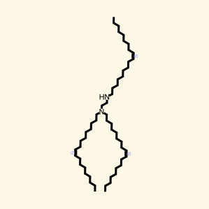 CCCCCCCC/C=C\CCCCCCCCNCCN(CCCCCCCC/C=C\CCCCCCCC)CCCCCCCC/C=C\CCCCCCCC